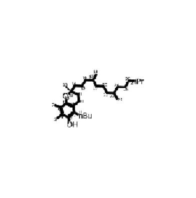 CCCCc1c(O)c(C)c(C)c2c1CC[C@@](C)(CCCC(C)CCCC(C)CCCC(C)C)O2